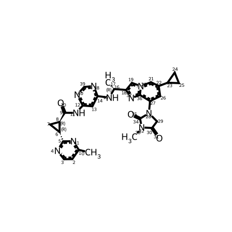 Cc1ccnc([C@@H]2C[C@H]2C(=O)Nc2cc(N[C@H](C)c3cn4cc(C5CC5)cc(N5CC(=O)N(C)C5=O)c4n3)ncn2)n1